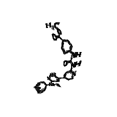 COC(=O)c1ccc(NC(=O)Nc2cc(-c3ccnc(Nc4ccccc4)c3)ccn2)cc1